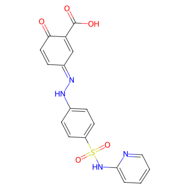 O=C(O)C1=CC(=NNc2ccc(S(=O)(=O)Nc3ccccn3)cc2)C=CC1=O